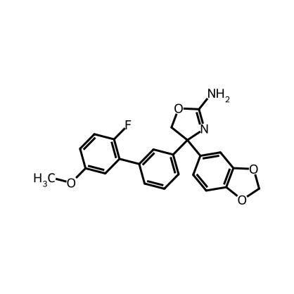 COc1ccc(F)c(-c2cccc(C3(c4ccc5c(c4)OCO5)COC(N)=N3)c2)c1